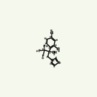 OC(Cn1cncn1)(c1ccc(Cl)cc1Cl)C(F)(F)F